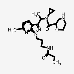 CCC(=O)NCCCn1nc(C(C)N(C(=O)C2CNCCO2)C2CC2)c2ccc(C)nc21